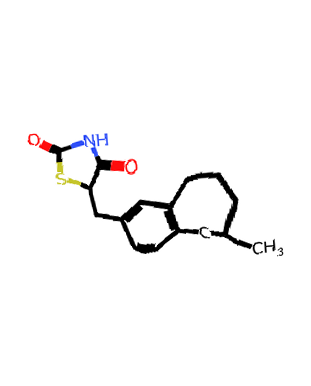 CC1CCCc2cc(CC3SC(=O)NC3=O)ccc2C1